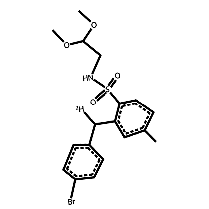 [2H]C(c1ccc(Br)cc1)c1cc(C)ccc1S(=O)(=O)NCC(OC)OC